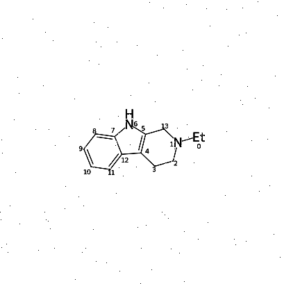 CCN1CCc2c([nH]c3ccccc23)C1